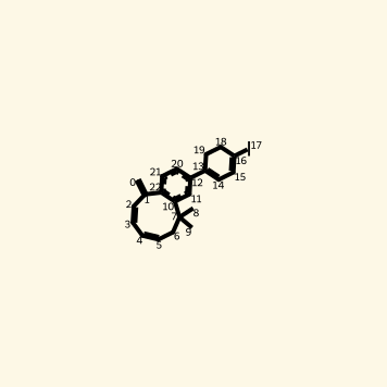 C=C1/C=C\C=C/CC(C)(C)c2cc(C3=CC=C(I)CC3)ccc21